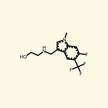 Cn1cc(CNCCO)c2cc(C(F)(F)F)c(F)cc21